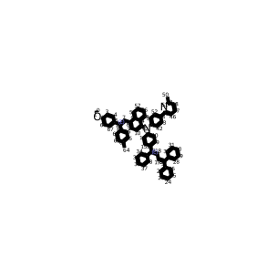 COc1ccc(/C(=C/c2ccc(N(c3ccc(/C(=C/C=C(c4ccccc4)c4ccccc4)c4ccccc4)cc3)c3ccc(-c4cccc(C)n4)cc3)c3ccccc23)c2ccc(C)cc2)cc1